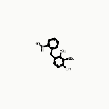 CC(C)(C)c1c(O)ccc(Cc2ccccc2NO)c1C(C)(C)C